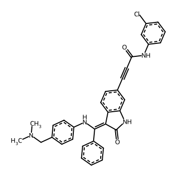 CN(C)Cc1ccc(NC(=C2C(=O)Nc3cc(C#CC(=O)Nc4cccc(Cl)c4)ccc32)c2ccccc2)cc1